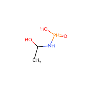 CC(O)N[PH](=O)O